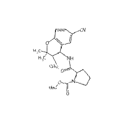 CC(=O)OC1C(NC(=O)C2CCCN2C(=O)OC(C)(C)C)c2cc(C#N)ccc2OC1(C)C